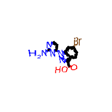 Nc1nccc(-n2nc(C(=O)O)c3ccc(Br)cc32)n1